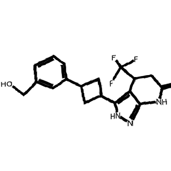 O=C1CC(C(F)(F)F)c2c(n[nH]c2C2CC(c3cccc(CO)c3)C2)N1